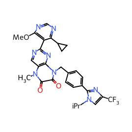 COc1ncnc(C2CC2)c1-c1ncc2c(n1)n(Cc1ccc(-c3nc(C(F)(F)F)cn3C(C)C)cc1)c(=O)c(=O)n2C